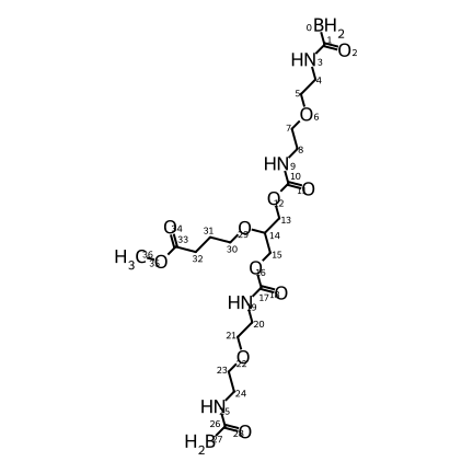 BC(=O)NCCOCCNC(=O)OCC(COC(=O)NCCOCCNC(B)=O)OCCCC(=O)OC